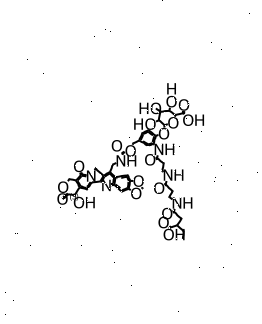 CCC(CC(=O)NCCC(=O)NCCC(=O)Nc1cc(COC(=O)NCc2c3c(nc4cc5c(cc24)OCO5)-c2cc4c(c(=O)n2C3)COC(=O)[C@H]4O)ccc1OC1OC(C(=O)O)C(O)C(O)C1O)C(=O)O